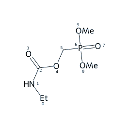 CCNC(=O)OCP(=O)(OC)OC